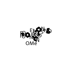 CCOc1ccc2nc(N3C4COCC3C4)sc2c1C(=O)Nc1cnc(OC)cc1C(=O)Nc1ccc2c(c1)OC(F)(F)O2